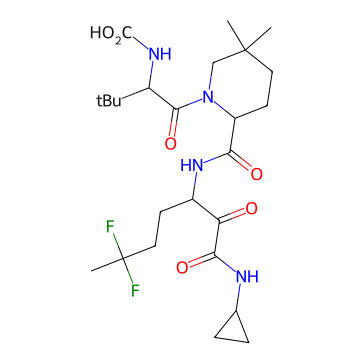 CC(F)(F)CCC(NC(=O)C1CCC(C)(C)CN1C(=O)C(NC(=O)O)C(C)(C)C)C(=O)C(=O)NC1CC1